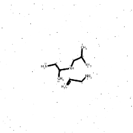 C=CCN.CC(N)CNC(C)CN